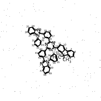 CC1(C)c2ccccc2-c2ccc(-c3nc(-c4cccc(-c5nc6ccccc6n5-c5ccccc5)c4)nc(-c4cccc(-c5nc6ccccc6n5-c5ccccc5)c4)n3)cc21